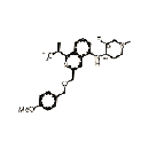 C=C(c1nc(COCc2ccc(OC)cc2)cc2c(N[C@@H]3CCN(C)C[C@@H]3F)cccc12)C(F)(F)F